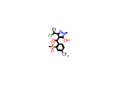 CCC(Cl)c1nn(C)c(O)c1C(=O)c1ccc(C(F)(F)F)cc1S(C)(=O)=O